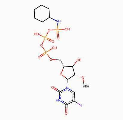 CCCCO[C@H]1C(O)[C@@H](COP(=O)(O)OP(=O)(O)OP(=O)(O)NC2CCCCC2)O[C@H]1n1cc(I)c(=O)[nH]c1=O